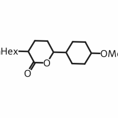 CCCCCCC1CCC(C2CCC(OC)CC2)OC1=O